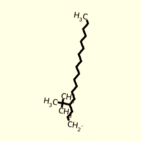 [CH2]CCC(CCCCCCCCCCCCCC)C(C)(C)C